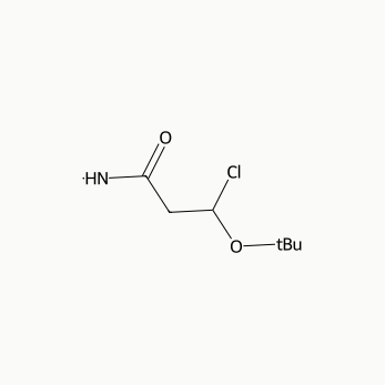 CC(C)(C)OC(Cl)CC([NH])=O